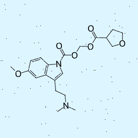 COc1ccc2c(c1)c(CCN(C)C)cn2C(=O)OCOC(=O)C1CCOC1